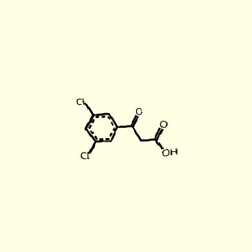 O=C(O)CC(=O)c1cc(Cl)cc(Cl)c1